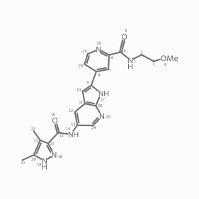 COCCNC(=O)c1cc(-c2cc3cc(NC(=O)c4n[nH]c(C)c4C)cnc3[nH]2)ccn1